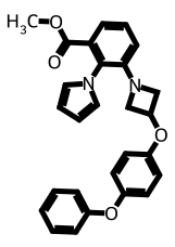 COC(=O)c1cccc(N2CC(Oc3ccc(Oc4ccccc4)cc3)C2)c1-n1cccc1